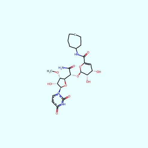 CO[C@H]1[C@@H](O)[C@H](n2ccc(=O)[nH]c2=O)O[C@@H]1[C@@H](O[C@H]1OC(C(=O)NC2CCCCCC2)=C[C@H](O)[C@@H]1O)C(N)=O